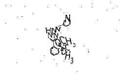 CC(C)S(=O)(=O)c1ccccc1-c1cnc(NN=Cc2cccnc2)nc1